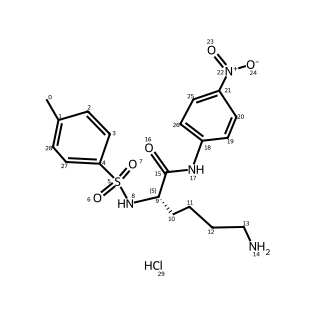 Cc1ccc(S(=O)(=O)N[C@@H](CCCCN)C(=O)Nc2ccc([N+](=O)[O-])cc2)cc1.Cl